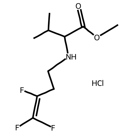 COC(=O)C(NCCC(F)=C(F)F)C(C)C.Cl